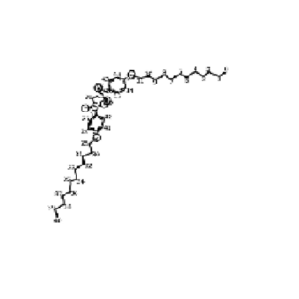 CCCCCCCCCCCCOc1ccc(S(=O)(=O)CS(=O)(=O)c2ccc(OCCCCCCCCCCCC)cc2)cc1